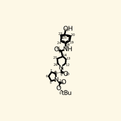 CC(C)(C)OC(=O)N1CCC[C@@H]1C(=O)N1CCC(C(=O)Nc2ccc(O)cc2)CC1